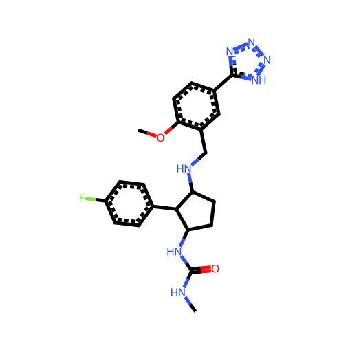 CNC(=O)NC1CCC(NCc2cc(-c3nnn[nH]3)ccc2OC)C1c1ccc(F)cc1